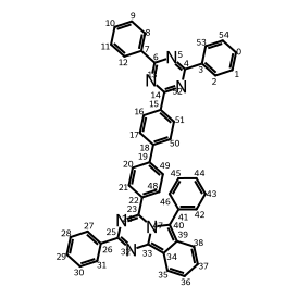 c1ccc(-c2nc(-c3ccccc3)nc(-c3ccc(-c4ccc(-c5nc(-c6ccccc6)nc6c7ccccc7c(-c7ccccc7)n56)cc4)cc3)n2)cc1